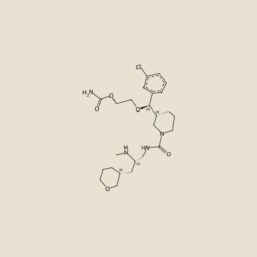 CN[C@H](CNC(=O)N1CCC[C@@H]([C@@H](OCCOC(N)=O)c2cccc(Cl)c2)C1)C[C@H]1CCCOC1